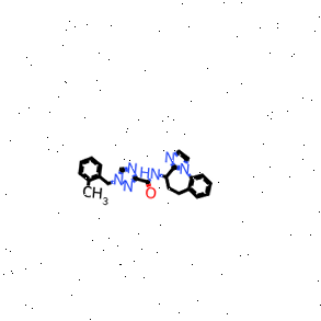 Cc1ccccc1Cn1cnc(C(=O)NC2CCc3ccccc3-n3ccnc32)n1